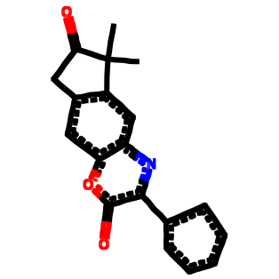 CC1(C)C(=O)Cc2cc3oc(=O)c(-c4ccccc4)nc3cc21